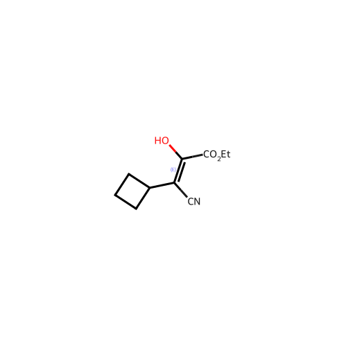 CCOC(=O)/C(O)=C(\C#N)C1CCC1